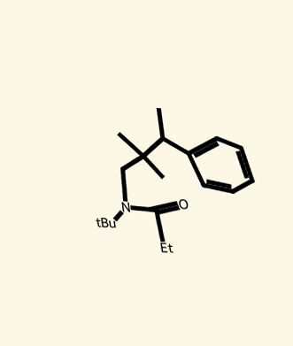 CCC(=O)N(CC(C)(C)C(C)c1ccccc1)C(C)(C)C